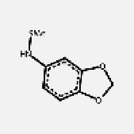 CSNc1ccc2c(c1)OCO2